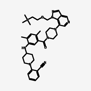 Cc1cc(C)c(C(=O)N2CCN(c3cncc4cnn(COCC[Si](C)(C)C)c34)CC2)cc1NC1CCN(c2ccccc2C#N)CC1